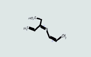 C=C/C(CC(=O)O)=N\C=C/C